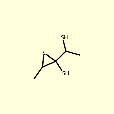 CC(S)C1(S)SC1C